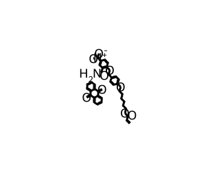 C=CC(=O)OCCCCCCOc1ccc(C(=O)Oc2ccc([N+](=O)[O-])cc2CN)cc1.O=C1c2ccccc2C(=O)c2ccccc21